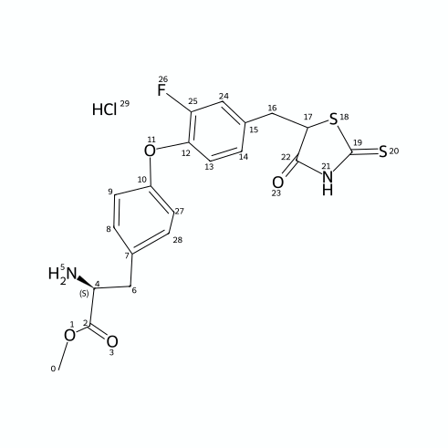 COC(=O)[C@@H](N)Cc1ccc(Oc2ccc(CC3SC(=S)NC3=O)cc2F)cc1.Cl